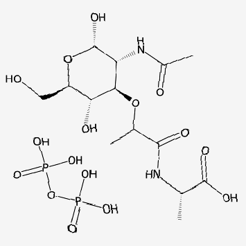 CC(=O)N[C@@H]1[C@@H](OC(C)C(=O)N[C@@H](C)C(=O)O)[C@H](O)[C@@H](CO)O[C@@H]1O.O=P(O)(O)OP(=O)(O)O